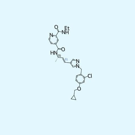 CCNC(=O)c1cc(C(=O)N[C@@H](C)/C=C/c2cnn(Cc3ccc(OCC4CC4)cc3Cl)c2)ccn1